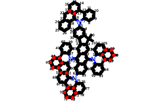 CC1(C)c2cc(N(c3ccccc3-c3ccccc3)c3cccc4ccccc34)ccc2-c2cc3c(N(c4ccccc4-c4ccccc4)c4cccc5ccccc45)c4cc(N(c5ccccc5-c5ccccc5)c5cccc6ccccc56)ccc4c(N(c4ccccc4-c4ccccc4)c4cccc5ccccc45)c3cc21